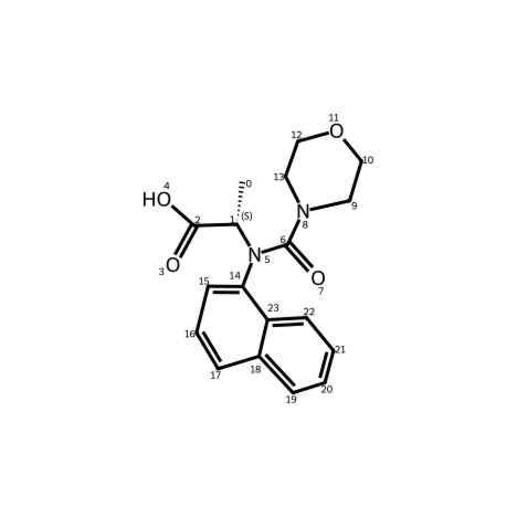 C[C@@H](C(=O)O)N(C(=O)N1CCOCC1)c1cccc2ccccc12